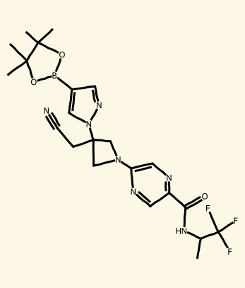 CC(NC(=O)c1cnc(N2CC(CC#N)(n3cc(B4OC(C)(C)C(C)(C)O4)cn3)C2)cn1)C(F)(F)F